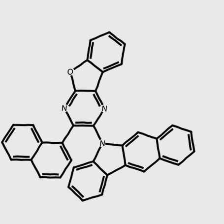 c1ccc2cc3c(cc2c1)c1ccccc1n3-c1nc2c(nc1-c1cccc3ccccc13)oc1ccccc12